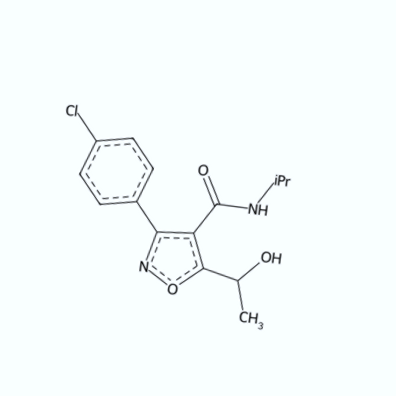 CC(C)NC(=O)c1c(-c2ccc(Cl)cc2)noc1C(C)O